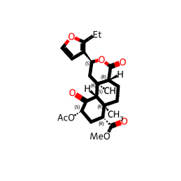 CCc1occc1[C@@H]1C[C@]2(C)[C@H]3C(=O)[C@@H](OC(C)=O)C[C@@H](C(=O)OC)[C@]3(C)CC[C@H]2C(=O)O1